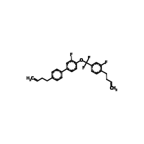 C=CCCc1ccc(-c2ccc(OC(F)(F)c3ccc(CCC=C)c(F)c3)c(F)c2)cc1